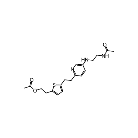 CC(=O)NCCNc1ccc(CCc2ccc(CCOC(C)=O)s2)nc1